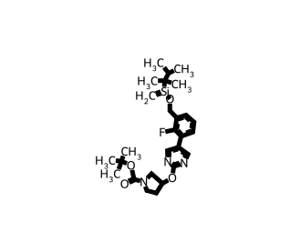 C=[Si](OCc1cccc(-c2cnc(OC3CCN(C(=O)OC(C)(C)C)C3)nc2)c1F)C(C)(C)C(C)C